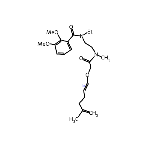 C=C(C)CC/C=C/OCC(=O)N(C)CCN(CC)C(=O)c1cccc(OC)c1OC